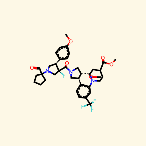 COC[C@H]1CN(C(=O)[C@]2(F)CN(C3(C=O)CCCC3)C[C@H]2c2ccc(OC)cc2)C[C@@H]1c1ccc(C(F)(F)F)cc1N1CCC(C(=O)OC)CC1